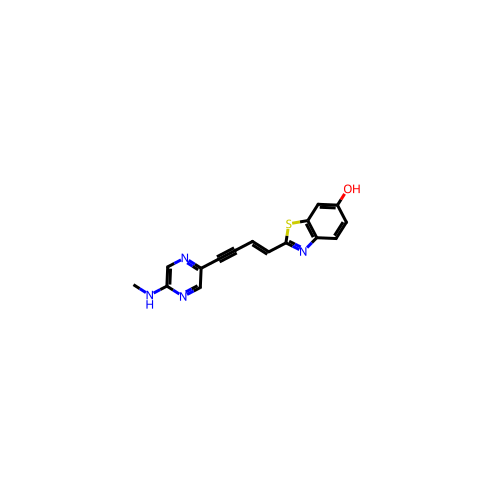 CNc1cnc(C#CC=Cc2nc3ccc(O)cc3s2)cn1